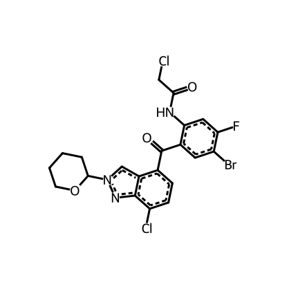 O=C(CCl)Nc1cc(F)c(Br)cc1C(=O)c1ccc(Cl)c2nn(C3CCCCO3)cc12